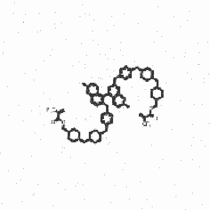 C=C(C(=O)OCC1CCC(CC2CCC(Cc3ccc(Cc4cc(-c5c(Cc6ccc(CC7CCC(CC8CCC(COC(=O)C(=C)C(F)(F)F)CC8)CC7)cc6)ccc6cc(C)ccc56)c5ccc(C)cc5c4)cc3)CC2)CC1)C(F)(F)F